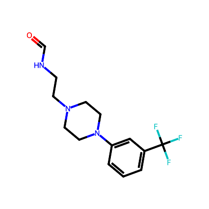 O=CNCCN1CCN(c2cccc(C(F)(F)F)c2)CC1